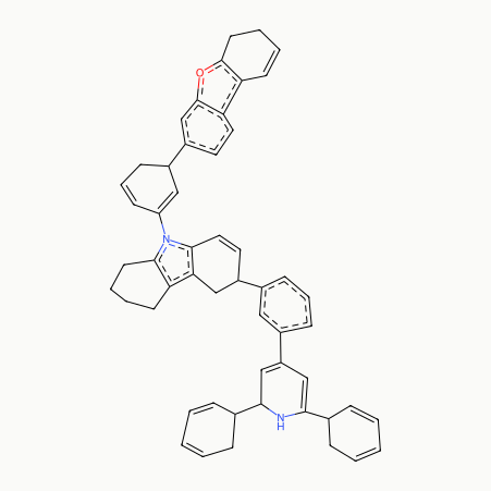 C1=CCC(C2=CC(c3cccc(C4C=Cc5c(c6c(n5C5=CC(c7ccc8c9c(oc8c7)CCC=C9)CC=C5)CCCC6)C4)c3)=CC(C3C=CC=CC3)N2)C=C1